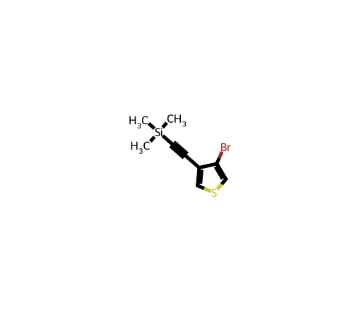 C[Si](C)(C)C#Cc1cscc1Br